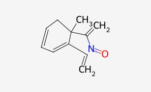 C=CC1=CC=CCC1(C)C(=C)N=O